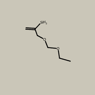 C=C([SiH3])COCOCC